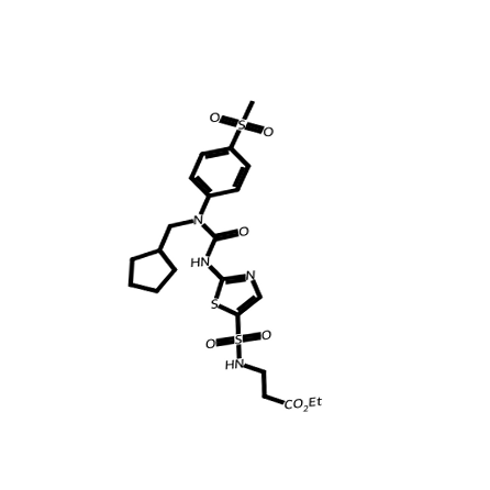 CCOC(=O)CCNS(=O)(=O)c1cnc(NC(=O)N(CC2CCCC2)c2ccc(S(C)(=O)=O)cc2)s1